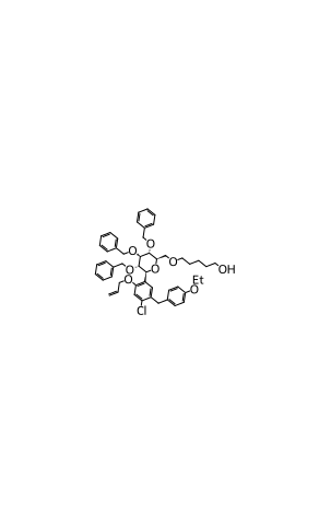 C=CCOc1cc(Cl)c(Cc2ccc(OCC)cc2)cc1[C@@H]1O[C@H](COCCCCCO)[C@@H](OCc2ccccc2)[C@H](OCc2ccccc2)[C@H]1OCc1ccccc1